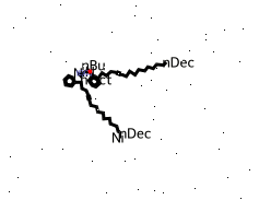 CCCCCCCCCCCCCCCCCCCC#CCCCc1ccccc1/N=C(CCCC)\C(CCCCCCCC)=N\c1ccccc1CCCC#CCCCCCCCCCCCCCCCCCCC.[Ni]